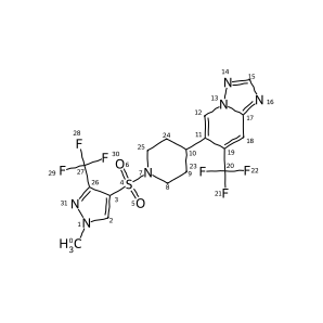 Cn1cc(S(=O)(=O)N2CCC(c3cn4ncnc4cc3C(F)(F)F)CC2)c(C(F)(F)F)n1